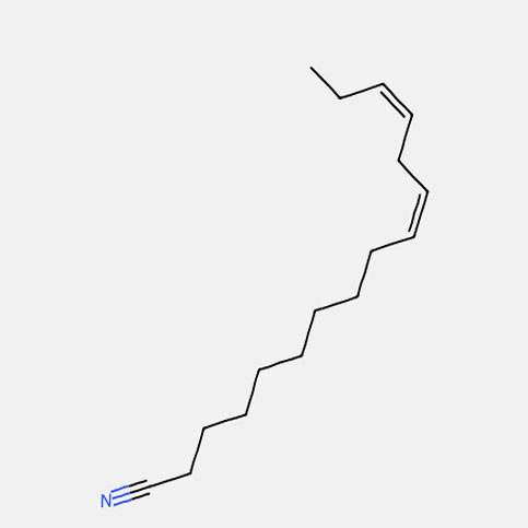 CC/C=C\C/C=C\CCCCCCCCC#N